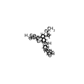 C=CC(=O)N1CC[C@@H]1c1ccc(N2C[C@H](CS(C)(=O)=O)[C@H]2C)c2cnc(Nc3ccnc(N4CC[C@@H]5C[C@H]4CO5)n3)cc12